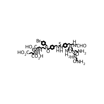 NC(=O)CNCCN(CCN(CC(N)=O)C(CNCC=O)Cc1ccc(NC(=S)NCc2ccc(C(=O)N(CCCC[C@@H](NC(=O)N[C@H](CCC(=O)O)C(=O)O)C(=O)O)Cc3ccc(Br)cc3)cc2)cc1)CC(N)=O